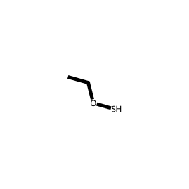 CCOS